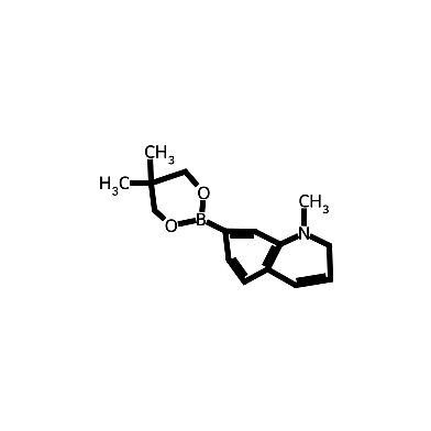 CN1CC=Cc2ccc(B3OCC(C)(C)CO3)cc21